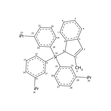 CC1=Cc2ccccc2[C]1[Si](c1cccc(C(C)C)c1)(c1cccc(C(C)C)c1)c1cccc(C(C)C)c1